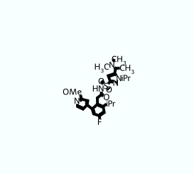 COc1cc(-c2cc(F)cc(C(C)C)c2CC(=O)NS(=O)(=O)c2cc(C(C)N(C)C)n(C(C)C)n2)ccn1